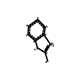 CC1=[N+]c2ccccc2S1